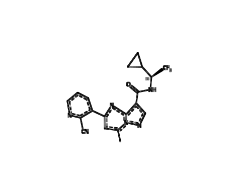 Cc1cc(-c2cccnc2C#N)nc2c(C(=O)N[C@@H](C3CC3)C(F)(F)F)cnn12